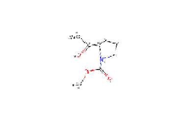 CCCCOC(=O)N1CCCC1C(=O)OC